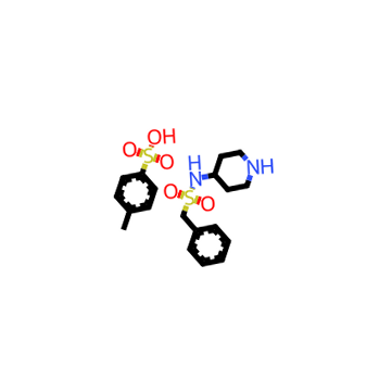 Cc1ccc(S(=O)(=O)O)cc1.O=S(=O)(Cc1ccccc1)NC1CCNCC1